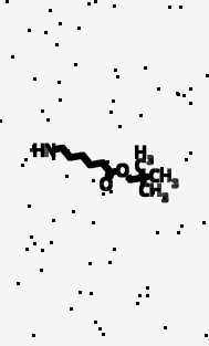 CC(C)(C)COC(=O)CCCCC[NH]